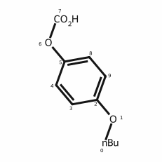 CCCCOc1ccc(OC(=O)O)cc1